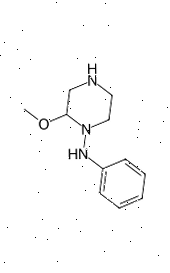 COC1CNCCN1Nc1ccccc1